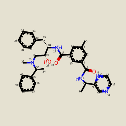 Cc1cc(C(=O)NC(C)c2cnccn2)cc(C(=O)N[C@@H](Cc2ccccc2)[C@H](O)CN(C)[C@@H](C)c2ccccc2)c1